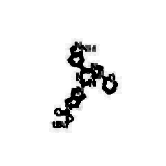 CC(C)(C)OC(=O)N1CC2=CN(c3nc(-c4ccc5cn[nH]c5c4)c4ncn(C5CCCCO5)c4n3)CC2C1